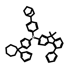 CC1(C)c2cc(N(c3ccc(C4CC5CCC4C5)cc3)c3ccc(C4(c5ccccc5)CCCCCC4)cc3)ccc2-c2c(-c3ccccc3)cccc21